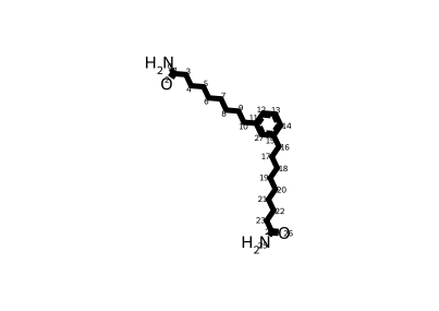 NC(=O)CCCCCCCCc1cccc(CCCCCCCCC(N)=O)c1